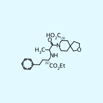 CCOC(=O)[C@H](CCc1ccccc1)NC(C)C(=O)N1CCC2(CCOC2)C[C@H]1C(=O)O